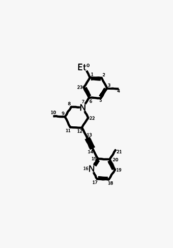 CCc1cc(C)cc(N2CC(C)CC(C#Cc3ncccc3C)C2)c1